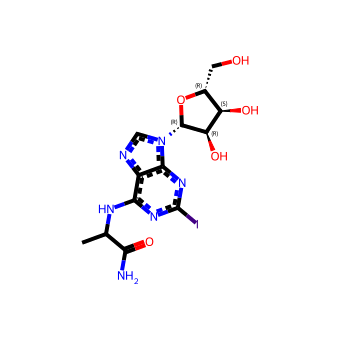 CC(Nc1nc(I)nc2c1ncn2[C@@H]1O[C@H](CO)[C@@H](O)[C@H]1O)C(N)=O